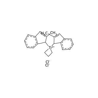 CC1=Cc2ccccc2[CH]1[Ti+2]1([CH]2C(C)=Cc3ccccc32)[CH2]C[CH2]1.[Cl-].[Cl-]